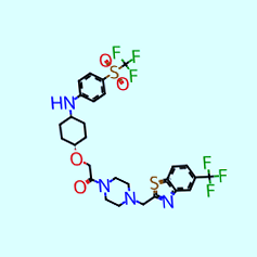 O=C(CO[C@H]1CC[C@H](Nc2ccc(S(=O)(=O)C(F)(F)F)cc2)CC1)N1CCN(Cc2nc3cc(C(F)(F)F)ccc3s2)CC1